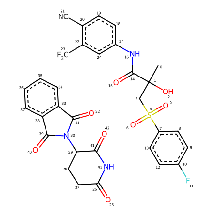 CC(O)(CS(=O)(=O)c1ccc(F)cc1)C(=O)Nc1ccc(C#N)c(C(F)(F)F)c1.O=C1CCC(N2C(=O)c3ccccc3C2=O)C(=O)N1